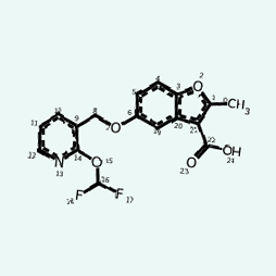 Cc1oc2ccc(OCc3cccnc3OC(F)F)cc2c1C(=O)O